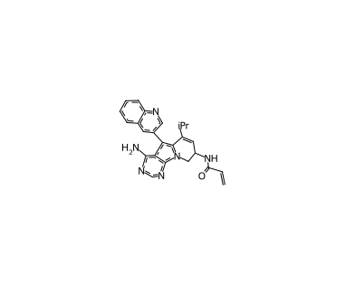 C=CC(=O)NC1C=C(C(C)C)c2c(-c3cnc4ccccc4c3)c3c(N)ncnc3n2C1